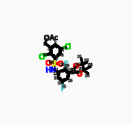 CC(=O)OCc1cc(Cl)cc(S(=O)(=O)Nc2cc(F)cc(B3OC(C)(C)C(C)(C)O3)c2F)c1Cl